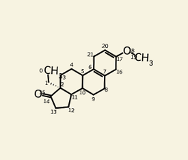 CC[C@]12CCC3C4=C(CCC3C1CCC2=O)CC(OC)=CC4